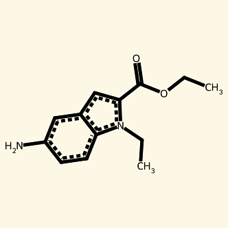 CCOC(=O)c1cc2cc(N)ccc2n1CC